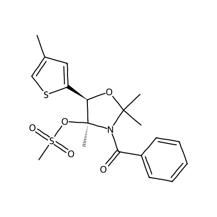 Cc1csc([C@H]2OC(C)(C)N(C(=O)c3ccccc3)[C@@]2(C)OS(C)(=O)=O)c1